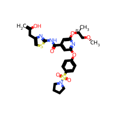 C=C(O)Cc1csc(NC(=O)c2cc(Oc3ccc(S(=O)(=O)N4CCCC4)cc3)nc(O[C@H](C)COC)c2)n1